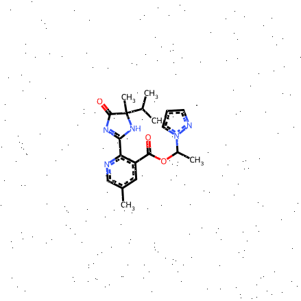 Cc1cnc(C2=NC(=O)C(C)(C(C)C)N2)c(C(=O)OC(C)n2cccn2)c1